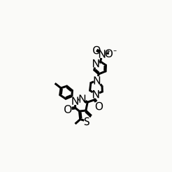 Cc1ccc(-n2nc(C(=O)N3CCN(c4ccc([N+](=O)[O-])nc4)CC3)c3csc(C)c3c2=O)cc1